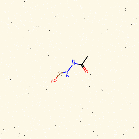 CC(=O)NNSO